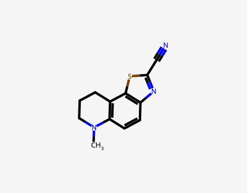 CN1CCCc2c1ccc1nc(C#N)sc21